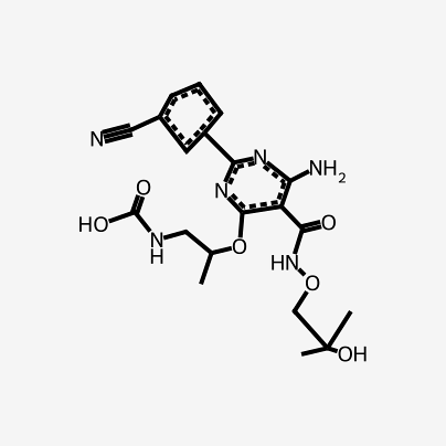 CC(CNC(=O)O)Oc1nc(-c2cccc(C#N)c2)nc(N)c1C(=O)NOCC(C)(C)O